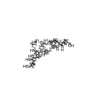 CCn1cnc(CCNc2nc(NC3CCN(C(=O)N4CCC(Nc5nc(NCCc6cn(CC)cn6)nc6c5ncn6[C@@H]5C[C@H](n6ncc(CO)n6)[C@@H](O)[C@H]5O)CC4)CC3)c3ncn([C@@H]4C[C@H](n5ncc(CO)n5)[C@@H](O)[C@H]4O)c3n2)c1